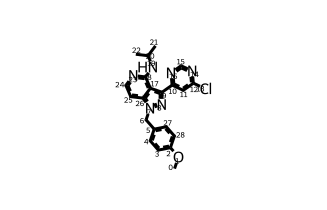 COc1ccc(Cn2nc(-c3cc(Cl)ncn3)c3c(NC(C)C)nccc32)cc1